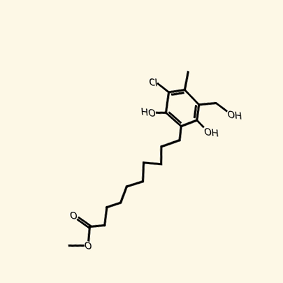 COC(=O)CCCCCCCCCc1c(O)c(Cl)c(C)c(CO)c1O